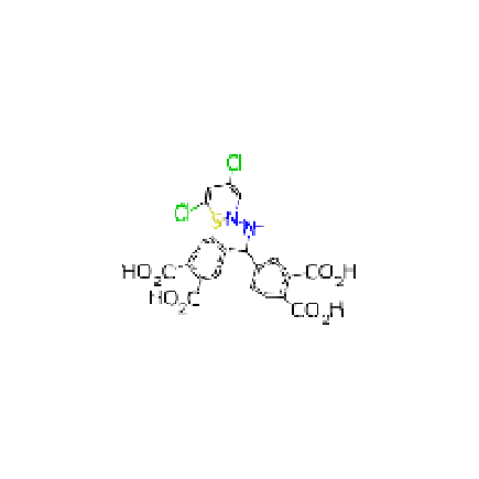 CN(C(c1ccc(C(=O)O)c(C(=O)O)c1)c1ccc(C(=O)O)c(C(=O)O)c1)N1C=C(Cl)C=C(Cl)S1